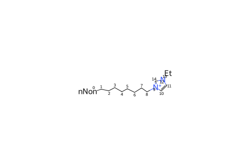 CCCCCCCCCCCCCCCCC[n+]1ccn(CC)c1